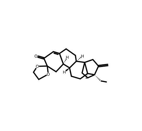 C=C1CC23CC[C@@]1(CC)[C@@]2(C)CC[C@H]1[C@H]3CCC2=CC(=O)C3(C[C@@H]21)OCCO3